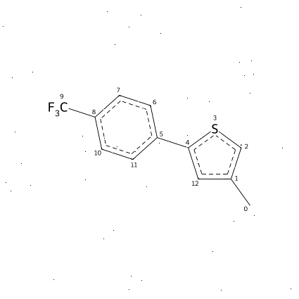 Cc1[c]sc(-c2ccc(C(F)(F)F)cc2)c1